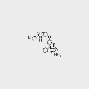 CN(C)[C@H]1CCN(C(=O)Nc2cc(Oc3ccc(N(C(=O)C4(C(N)=O)CC4)c4ccccc4)c(F)c3)ccn2)C1